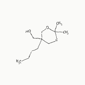 CCCCC1(CO)COC(C)(C)OC1